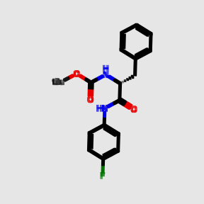 CC(C)(C)OC(=O)N[C@H](Cc1ccccc1)C(=O)Nc1ccc(F)cc1